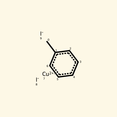 Cc1ccccc1.[Cu+2].[I-].[I-]